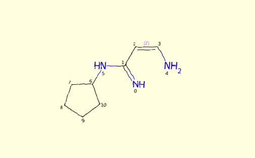 N=C(/C=C\N)NC1CCCC1